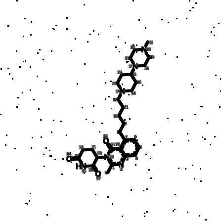 Cc1nc2cccc(CCCCCN3CCC(N4CCN(C)CC4)CC3)c2c(=O)n1C1CCC(=O)NC1=O